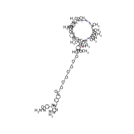 CO[C@H]1C[C@@H]2CC[C@@H](C)[C@@](O)(O2)C(=O)C(=O)N2CCCC[C@H]2C(=O)O[C@H]([C@H](C)C[C@@H]2CC[C@@H](O)[C@H](OC)C2)C[C@@H](OC(=O)NCCOCCOCCOCCOCCOCCOCCOCCOCCC(=O)N2CCc3cc(Cn4nc(-c5ccc6oc(N)nc6c5)c5c(N)ncnc54)ccc3C2)[C@H](C)/C=C(\C)[C@@H](O)[C@@H](OC)C(=O)[C@H](C)C[C@H](C)/C=C/C=C/C=C/1C